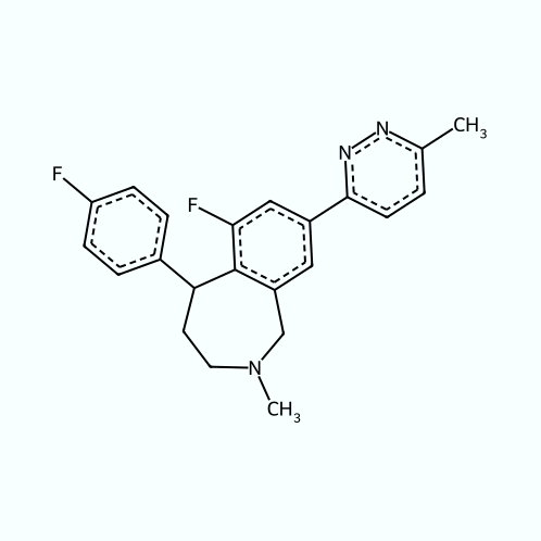 Cc1ccc(-c2cc(F)c3c(c2)CN(C)CCC3c2ccc(F)cc2)nn1